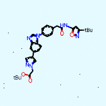 CC(C)(C)OC(=O)Cn1cc(-c2ccc3c(c2)ncn3-c2ccc(CC(=O)Nc3cc(C(C)(C)C)no3)cc2)cn1